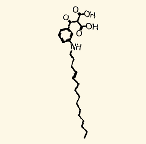 CCCCCCCCCCC=CCCCNc1cccc(C(=O)C(C(=O)O)C(=O)O)c1